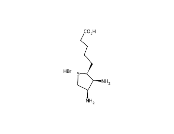 Br.N[C@@H]1[C@H](CCCCC(=O)O)SC[C@@H]1N